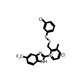 Cc1ccc[n+](-c2nc3cc(C(F)(F)F)ccc3[nH]2)c1CSSc1cccc(Cl)c1.[Cl-]